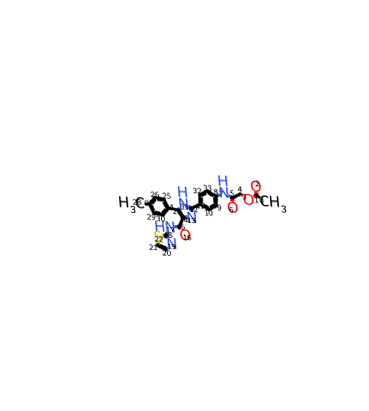 CC(=O)OCC(=O)Nc1ccc(-c2nc(C(=O)Nc3nccs3)c(-c3ccc(C)cc3)[nH]2)cc1